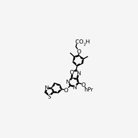 CCCOc1nc(Oc2ccc3ncsc3c2)nc2oc(-c3cc(C)c(OCC(=O)O)c(C)c3)nc12